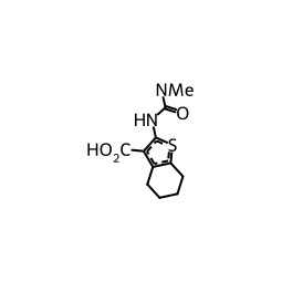 CNC(=O)Nc1sc2c(c1C(=O)O)CCCC2